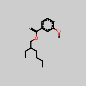 [CH]=C(OCC(CC)CCCC)c1cc[c]c(OC)c1